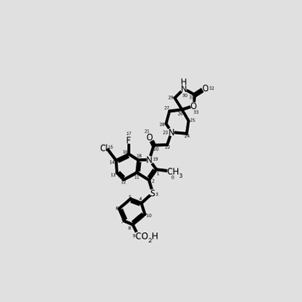 Cc1c(Sc2cccc(C(=O)O)c2)c2ccc(Cl)c(F)c2n1C(=O)CN1CCC2(CC1)CNC(=O)O2